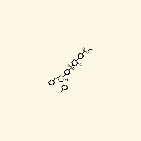 CCOC(=O)c1ccc(-c2ccc(S(=O)(=O)c3ccc(CCN(Cc4ccccc4)C[C@H](O)c4cccc(Cl)c4)cc3)cc2Cl)cc1